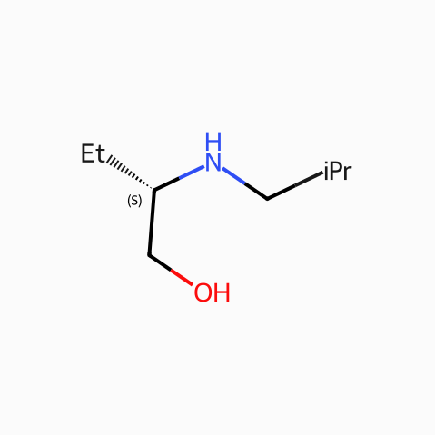 CC[C@@H](CO)NCC(C)C